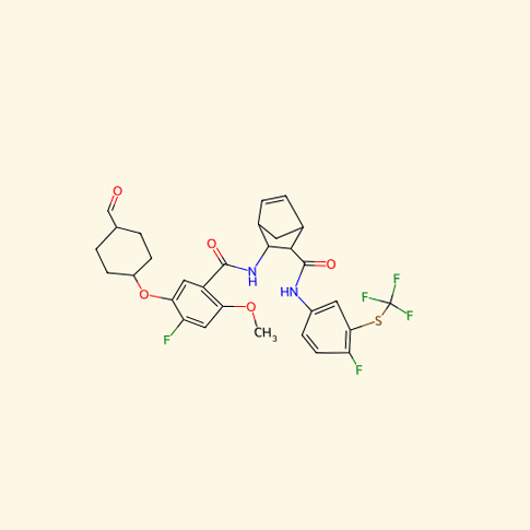 COc1cc(F)c(OC2CCC(C=O)CC2)cc1C(=O)NC1C2C=CC(C2)C1C(=O)Nc1ccc(F)c(SC(F)(F)F)c1